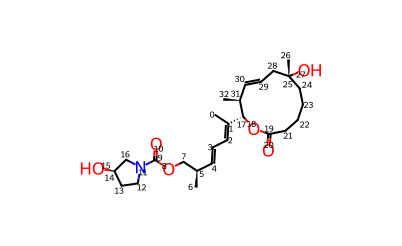 C/C(=C\C=C\[C@@H](C)COC(=O)N1CC[C@@H](O)C1)[C@H]1OC(=O)CCCC[C@@](C)(O)C/C=C/[C@@H]1C